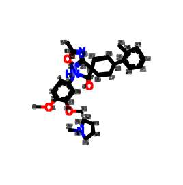 COc1ccc(NC(=O)C2(c3noc(C)n3)C=CC(c3ccccc3C)C=C2)cc1OC[C@@H]1CCCN1C